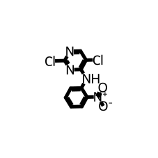 O=[N+]([O-])c1ccccc1Nc1nc(Cl)ncc1Cl